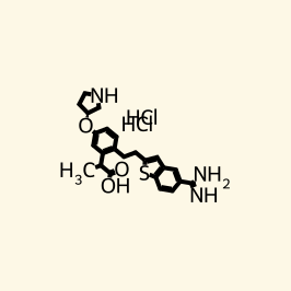 CC(C(=O)O)c1cc(O[C@H]2CCNC2)ccc1CCc1cc2cc(C(=N)N)ccc2s1.Cl.Cl